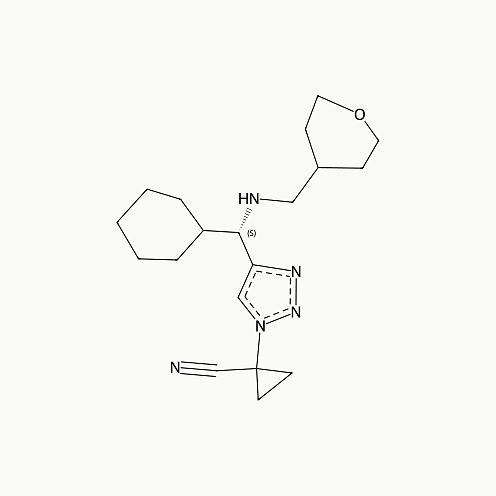 N#CC1(n2cc([C@@H](NCC3CCOCC3)C3CCCCC3)nn2)CC1